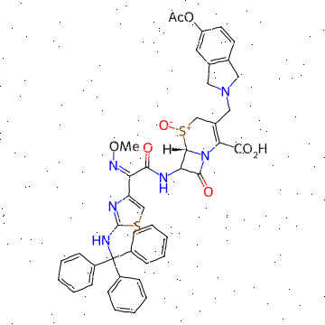 CO/N=C(\C(=O)NC1C(=O)N2C(C(=O)O)=C(CN3Cc4ccc(OC(C)=O)cc4C3)C[S+]([O-])[C@@H]12)c1csc(NC(c2ccccc2)(c2ccccc2)c2ccccc2)n1